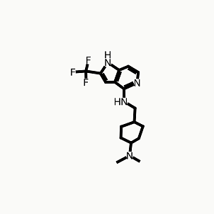 CN(C)C1CCC(CNc2nccc3[nH]c(C(F)(F)F)cc23)CC1